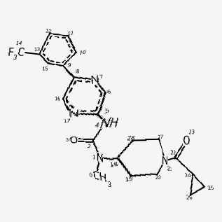 CN(C(=O)Nc1cnc(-c2cccc(C(F)(F)F)c2)cn1)C1CCN(C(=O)C2CC2)CC1